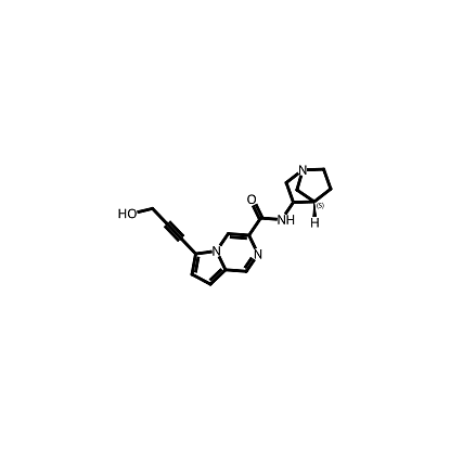 O=C(NC1CN2CC[C@H]1C2)c1cn2c(C#CCO)ccc2cn1